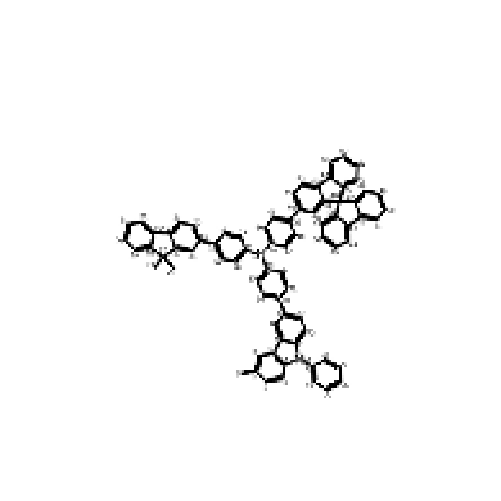 Cc1ccc2c(c1)c1cc(-c3ccc(N(c4ccc(-c5ccc6c(c5)C(C)(C)c5ccccc5-6)cc4)c4ccc(-c5ccc6c(c5)C5(c7ccccc7-c7ccccc75)c5ccccc5-6)cc4)cc3)ccc1n2-c1ccccc1